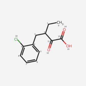 CCC(Cc1ccccc1Cl)C(=O)C(=O)O